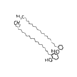 CCCCCCCCCCCCCCCCCCCCc1ccccc1O.CCCCCCCCCCCCCCCCCCCc1ccccc1O